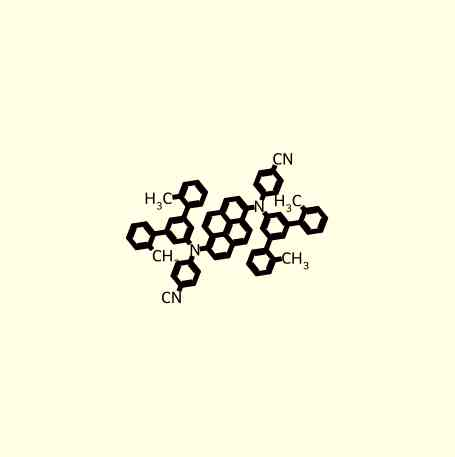 [C-]#[N+]c1ccc(N(c2cc(-c3ccccc3C)cc(-c3ccccc3C)c2)c2ccc3ccc4c(N(c5ccc(C#N)cc5)c5cc(-c6ccccc6C)cc(-c6ccccc6C)c5)ccc5ccc2c3c54)cc1